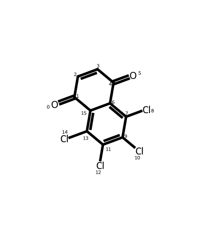 O=C1C=CC(=O)c2c(Cl)c(Cl)c(Cl)c(Cl)c21